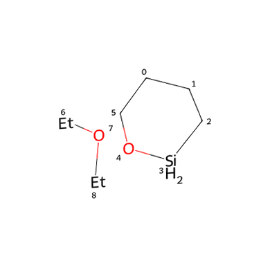 C1CC[SiH2]OC1.CCOCC